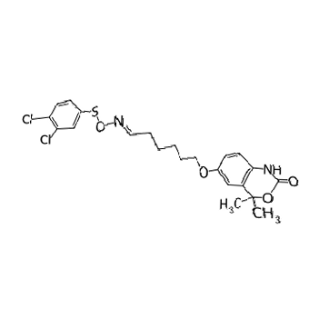 CC1(C)OC(=O)Nc2ccc(OCCCCCC=NOSc3ccc(Cl)c(Cl)c3)cc21